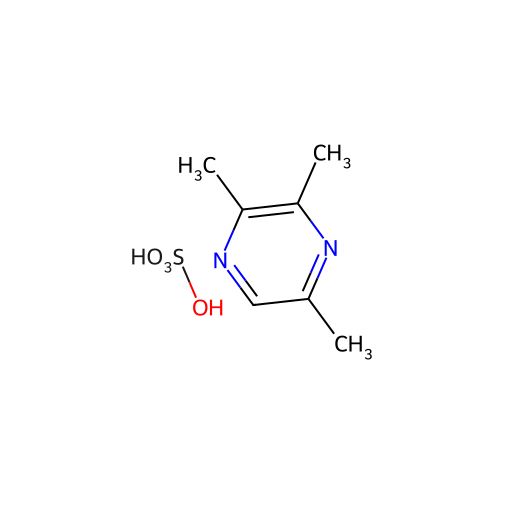 Cc1cnc(C)c(C)n1.O=S(=O)(O)O